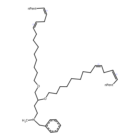 CCCCC/C=C\C/C=C\CCCCCCCCOCC(CCN(C)Cc1ccccc1)OCCCCCCCC/C=C\C/C=C\CCCCC